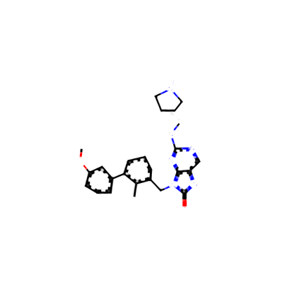 COc1cccc(-c2cccc(Cn3c(=O)[nH]c4cnc(NC[C@@H]5CCNC5)nc43)c2C)c1